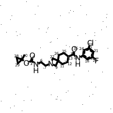 CC1(OC(=O)NCCN2CC3(CCC(C(=O)Nc4cc(F)cc(Cl)c4)CC3)C2)CC1